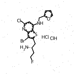 Cl.Cl.N[C@@H](CCF)Cc1sc2c(NCc3ccco3)cc(Cl)nc2c1Br